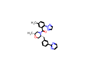 Cc1ccc(-n2nccn2)c(C(=O)N2C[C@@H](C)OC[C@H]2Cc2cccc(-c3ncccn3)c2)c1